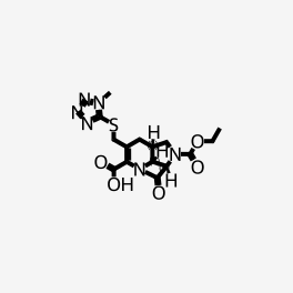 CCOC(=O)N1C[C@H]2CC(CSc3nnnn3C)=C(C(=O)O)N3C(=O)[C@@H]1[C@@H]23